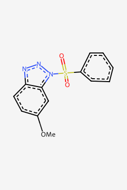 COc1ccc2nnn(S(=O)(=O)c3ccccc3)c2c1